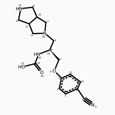 N#Cc1ccc(OC[C@H](CN2CC3CNCC3C2)NC(=O)O)cc1